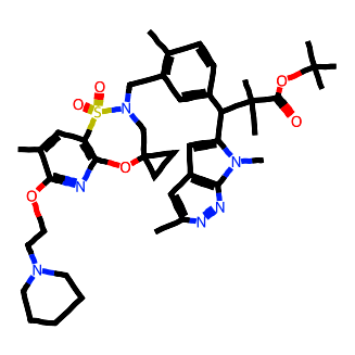 Cc1cc2cc(C(c3ccc(C)c(CN4CC5(CC5)Oc5nc(OCCN6CCCCC6)c(C)cc5S4(=O)=O)c3)C(C)(C)C(=O)OC(C)(C)C)n(C)c2nn1